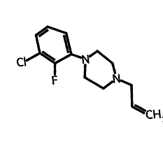 C=CCN1CCN(c2cccc(Cl)c2F)CC1